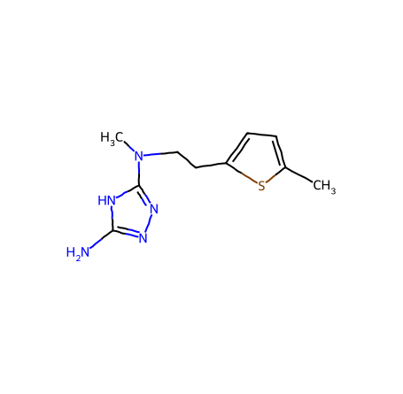 Cc1ccc(CCN(C)c2nnc(N)[nH]2)s1